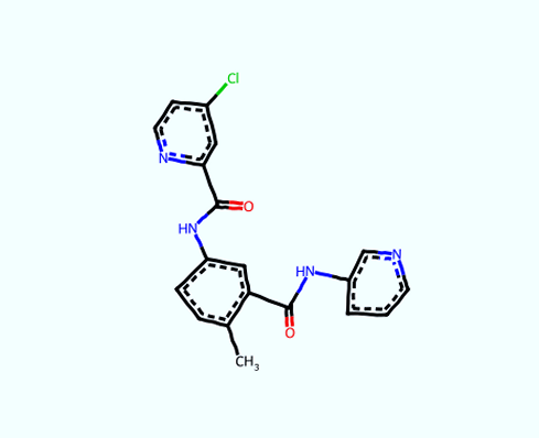 Cc1ccc(NC(=O)c2cc(Cl)ccn2)cc1C(=O)Nc1cccnc1